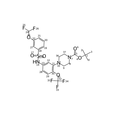 CC(C)(C)OC(=O)N1CCN(c2cc(NS(=O)(=O)c3cccc(OC(F)F)c3)ccc2OC(F)(F)F)CC1